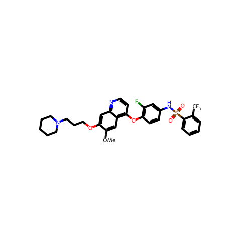 COc1cc2c(Oc3ccc(NS(=O)(=O)c4ccccc4C(F)(F)F)cc3F)ccnc2cc1OCCCN1CCCCC1